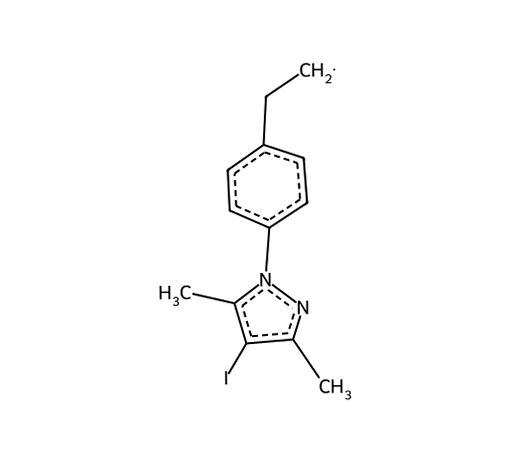 [CH2]Cc1ccc(-n2nc(C)c(I)c2C)cc1